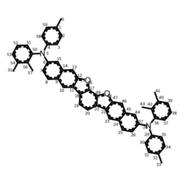 Cc1ccc(N(c2ccc3cc4c(cc3c2)oc2c4ccc3c4cc5ccc(N(c6ccc(C)cc6)c6cccc(C)c6C)cc5cc4oc32)c2cccc(C)c2C)cc1